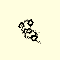 C[C@@H](O[C@H]1CN2C(=O)C(C)(CN3CC[C@@H](O)C3)CC2[C@@H]1c1ccc(F)cc1)c1cc(C(F)(F)F)cc(C(F)(F)F)c1